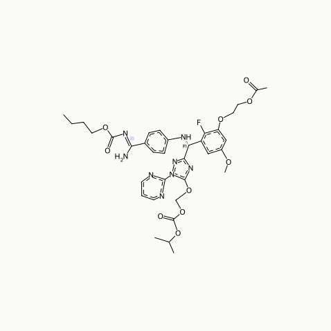 CCCCOC(=O)/N=C(\N)c1ccc(N[C@@H](c2nc(OCOC(=O)OC(C)C)n(-c3ncccn3)n2)c2cc(OC)cc(OCCOC(C)=O)c2F)cc1